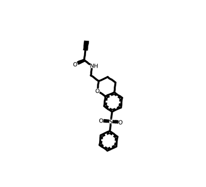 C#CC(=O)NCC1CCc2ccc(S(=O)(=O)c3ccccc3)cc2O1